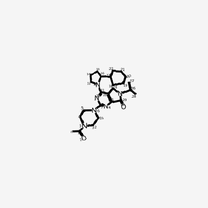 CC(=O)N1CCN(c2nc3c(c(N4CCCC4C4CCCCC4)n2)CN(C(C)C)C3=O)CC1